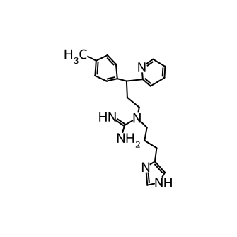 Cc1ccc(C(CCN(CCCc2c[nH]cn2)C(=N)N)c2ccccn2)cc1